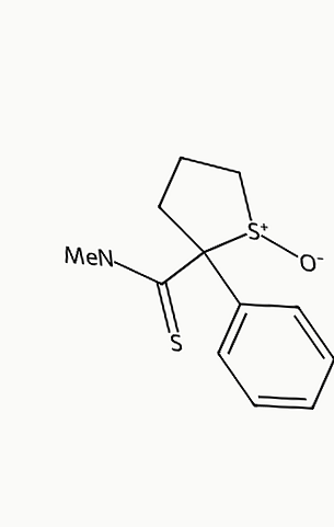 CNC(=S)C1(c2ccccc2)CCC[S+]1[O-]